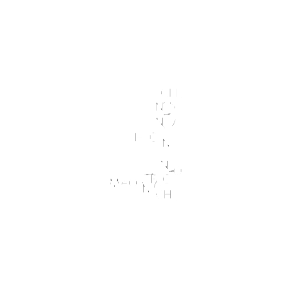 COc1cc(CN(C(=O)C(F)(F)F)C2CCCN(C(C)c3ccc4sc(C)nc4n3)C2)cc(C)n1